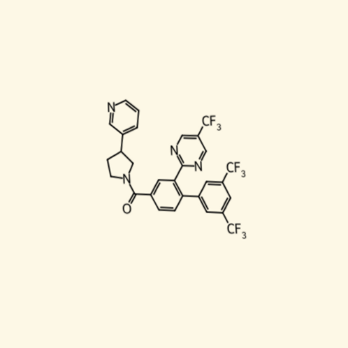 O=C(c1ccc(-c2cc(C(F)(F)F)cc(C(F)(F)F)c2)c(-c2ncc(C(F)(F)F)cn2)c1)N1CCC(c2cccnc2)C1